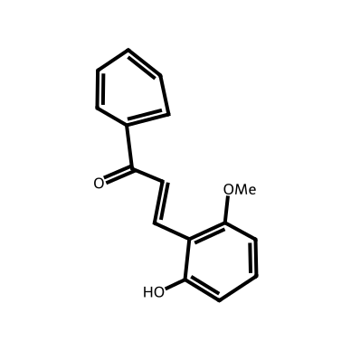 COc1cccc(O)c1C=CC(=O)c1ccccc1